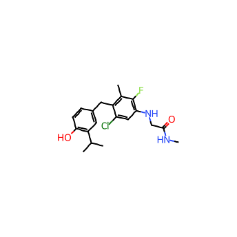 CNC(=O)CNc1cc(Cl)c(Cc2ccc(O)c(C(C)C)c2)c(C)c1F